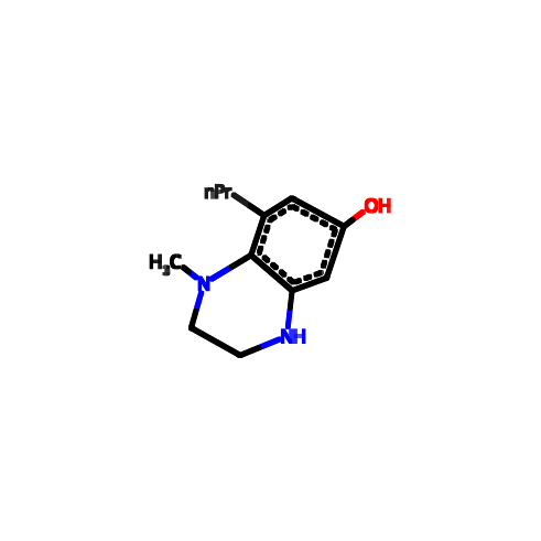 CCCc1cc(O)cc2c1N(C)CCN2